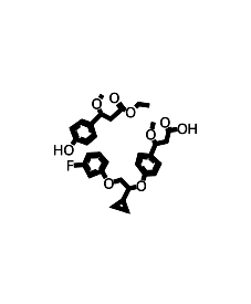 CCOC(=O)CC(OC)c1ccc(O)cc1.COC(CC(=O)O)c1ccc(OC(COc2cccc(F)c2)C2CC2)cc1